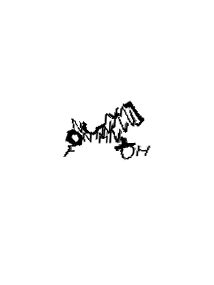 Cc1nc2ccc(F)cc2nc1-c1cc2nc(N3CCCC3)nc(NCC(C)(C)O)n2n1